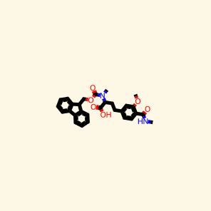 CNC(=O)c1ccc(CCC(C(=O)O)N(C)C(=O)OCC2c3ccccc3-c3ccccc32)cc1OC